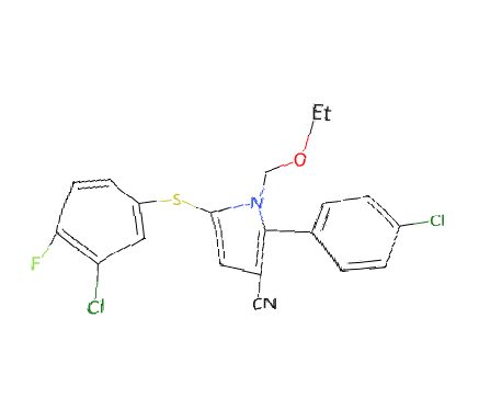 CCOCn1c(Sc2ccc(F)c(Cl)c2)cc(C#N)c1-c1ccc(Cl)cc1